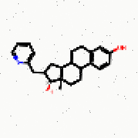 C[C@]12CCC3c4ccc(O)cc4CCC3C1CC(Cc1ccccn1)[C@@H]2O